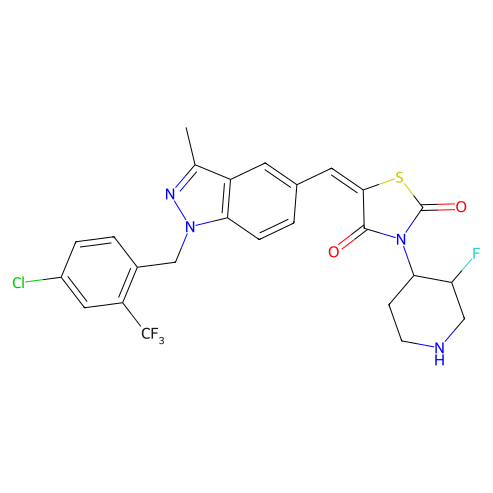 Cc1nn(Cc2ccc(Cl)cc2C(F)(F)F)c2ccc(C=C3SC(=O)N(C4CCNCC4F)C3=O)cc12